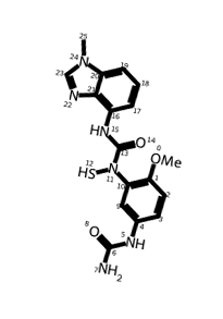 COc1ccc(NC(N)=O)cc1N(S)C(=O)Nc1cccc2c1ncn2C